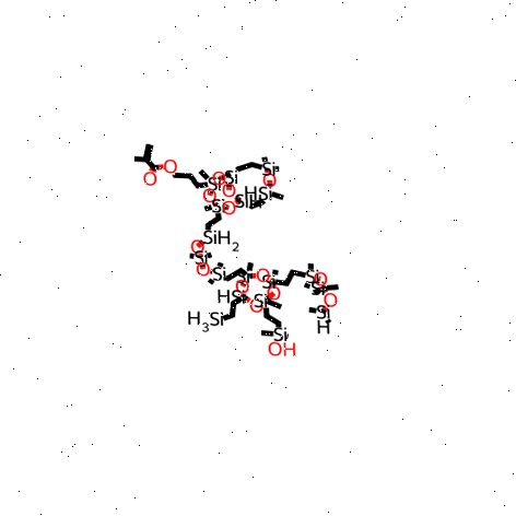 C=C(C)C(=O)OCCC[Si]1(C)O[Si](C)(CC[SiH2]O[Si](C)(C)O[Si](C)(C)CC[Si]2(C)O[SiH](CC[SiH3])O[Si](C)(CC[Si](C)(C)O)O[Si](C)(CC[Si](C)(C)O[Si](C)(C)O[SiH](C)C)O2)O[SiH]2CC[SiH](C)O[Si](C)(C)CC[Si](C)(O2)O1